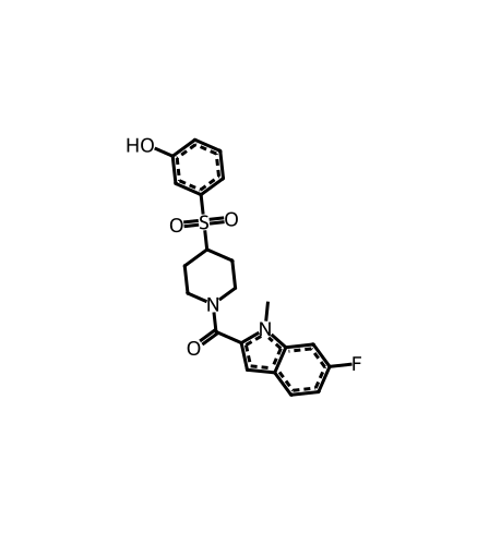 Cn1c(C(=O)N2CCC(S(=O)(=O)c3cccc(O)c3)CC2)cc2ccc(F)cc21